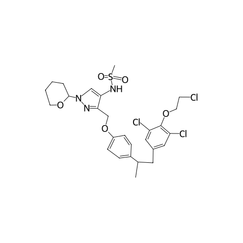 CC(Cc1cc(Cl)c(OCCCl)c(Cl)c1)c1ccc(OCc2nn(C3CCCCO3)cc2NS(C)(=O)=O)cc1